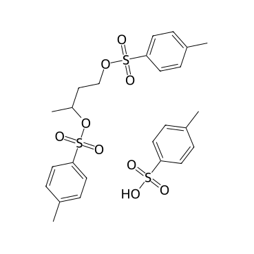 Cc1ccc(S(=O)(=O)O)cc1.Cc1ccc(S(=O)(=O)OCCC(C)OS(=O)(=O)c2ccc(C)cc2)cc1